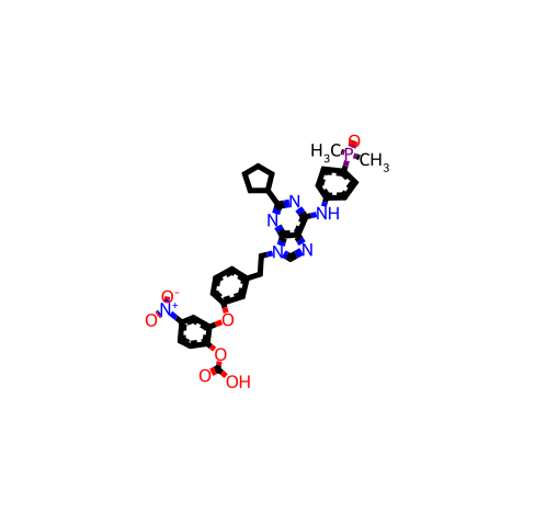 CP(C)(=O)c1ccc(Nc2nc(C3CCCC3)nc3c2ncn3CCc2cccc(Oc3cc([N+](=O)[O-])ccc3OC(=O)O)c2)cc1